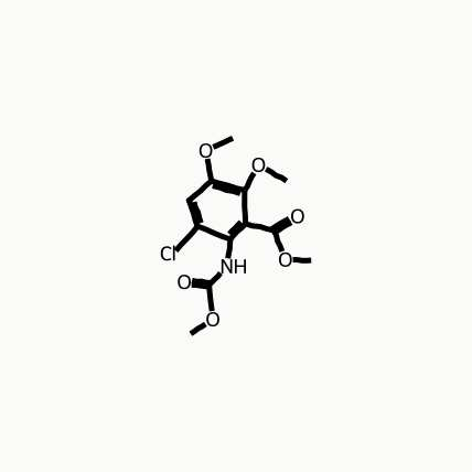 COC(=O)Nc1c(Cl)cc(OC)c(OC)c1C(=O)OC